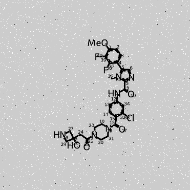 COc1ccc(-c2cnc(C(=O)Nc3ccc(C(=O)N4CCN(C(=O)CC5(O)CNC5)CC4)c(Cl)c3)n2C)c(F)c1F